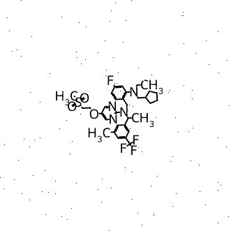 CCN(CC1CCCC1)c1cc(F)ccc1CN(c1ncc(OCCS(C)(=O)=O)cn1)C(C)c1cc(C)cc(C(F)(F)F)c1